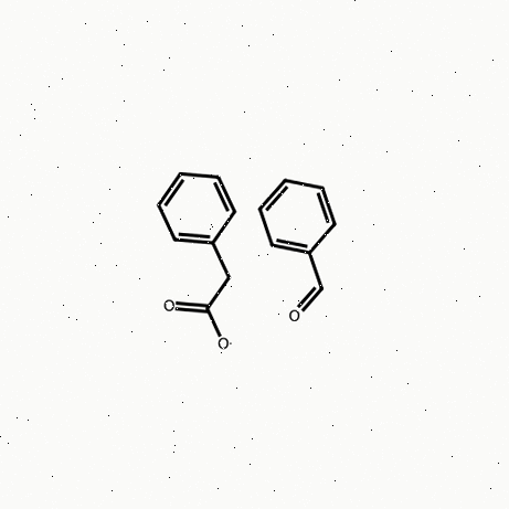 O=Cc1ccccc1.[O]C(=O)Cc1ccccc1